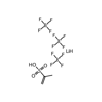 C=C(C)S(=O)(=O)O.F[B-](F)(F)F.F[B-](F)(F)F.F[B-](F)(F)F.[LiH]